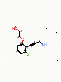 NCC#Cc1c(F)cccc1OCCO